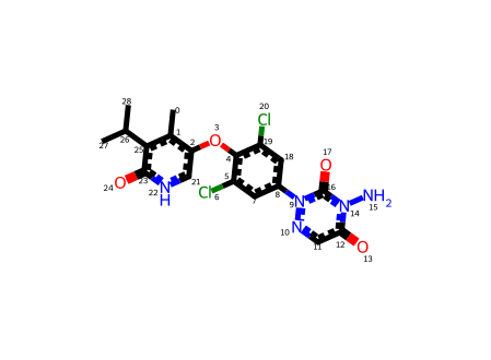 Cc1c(Oc2c(Cl)cc(-n3ncc(=O)n(N)c3=O)cc2Cl)c[nH]c(=O)c1C(C)C